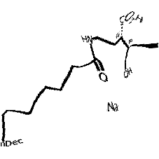 CCCCCCCCCCCCCCCC(=O)N[C@H](C(=O)O)[C@@H](C)O.[Na]